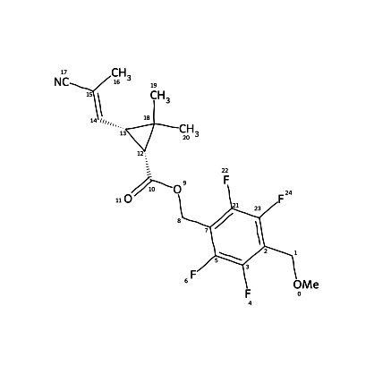 COCc1c(F)c(F)c(COC(=O)[C@@H]2[C@H](C=C(C)C#N)C2(C)C)c(F)c1F